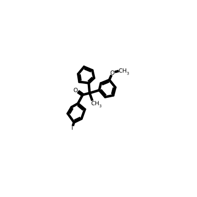 COc1cccc(C(C)(C(=O)c2ccc(I)cc2)c2ccccc2)c1